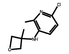 Cc1nc(Cl)ccc1NC1(C)COC1